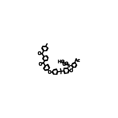 CC(=O)c1ccc(Oc2ccc(C(C)(C)c3ccc(Oc4ccc(C(=O)c5cccc(C(=O)c6ccc(C)cc6)c5)cc4)cc3)cc2)c(SOOO)c1